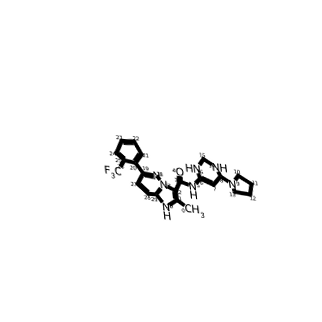 CC1=C(C(=O)NC2=CC(N3CCCC3)NCN2)N2N=C(c3ccccc3C(F)(F)F)C=CC2N1